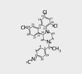 [C-]#[N+]c1ccc([C@H](C)N2CCN(c3ccc(Cl)cc3Cl)[C@H](c3ccc(Cl)cc3)C2)cc1